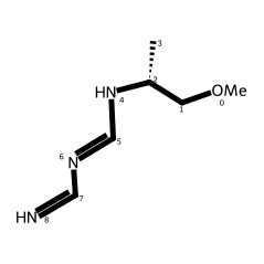 COC[C@@H](C)N/C=N/C=N